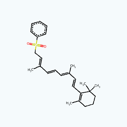 CC(C=CC1=C(C)CCCC1(C)C)=CC=CC(C)=CCS(=O)(=O)c1ccccc1